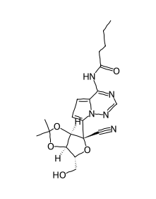 CCCCC(=O)Nc1ncnn2c([C@]3(C#N)O[C@H](CO)[C@H]4OC(C)(C)O[C@H]43)ccc12